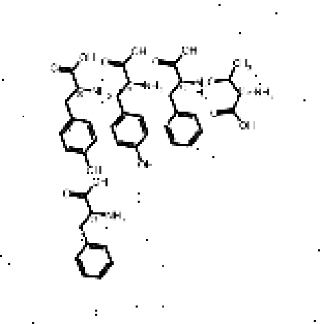 CC(C)[C@H](N)C(=O)O.N[C@@H](Cc1ccc(O)cc1)C(=O)O.N[C@@H](Cc1ccc(O)cc1)C(=O)O.N[C@@H](Cc1ccccc1)C(=O)O.N[C@@H](Cc1ccccc1)C(=O)O